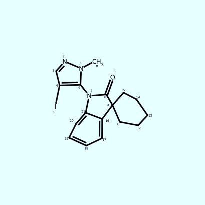 Cn1ncc(I)c1N1C(=O)C2(CCCCC2)c2ccccc21